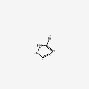 BrC1=CC=C[N]N1